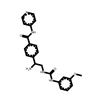 COc1cccc(NC(=O)NCC(N)c2ccc(C(=O)Nc3ccncc3)cc2)c1